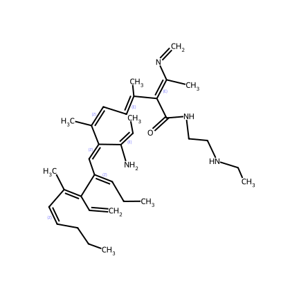 C=CC(=C(C)/C=C\CCC)C(=C\CC)/C=C(C(/C)=C\C=C(C)\C(C(=O)NCCNCC)=C(\C)N=C)\C(N)=C/C